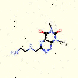 Cn1c(=O)c2nc(CNCCN)nnc2n(C)c1=O